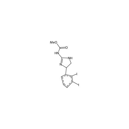 COC(=O)NC1=NC(c2cccc(I)c2I)CN1